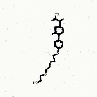 CC(C(=O)O)c1ccc(-c2ccc(OCCOCCOCCO)cc2)c(F)c1